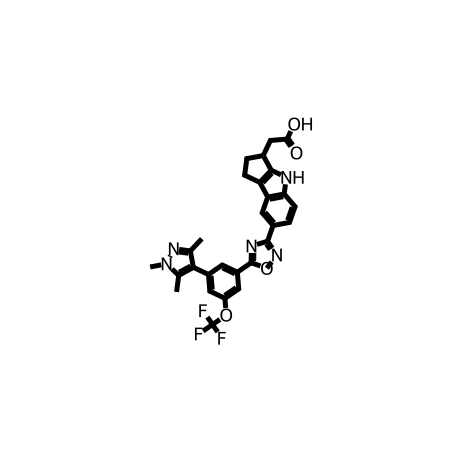 Cc1nn(C)c(C)c1-c1cc(OC(F)(F)F)cc(-c2nc(-c3ccc4[nH]c5c(c4c3)CCC5CC(=O)O)no2)c1